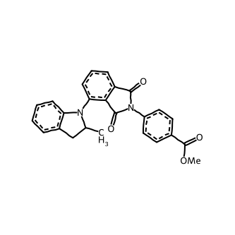 COC(=O)c1ccc(N2C(=O)c3cccc(N4c5ccccc5CC4C)c3C2=O)cc1